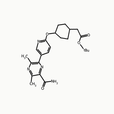 Cc1nc(C)c(-c2ccc(OC3CCC(CC(=O)OC(C)(C)C)CC3)nc2)nc1C(N)=O